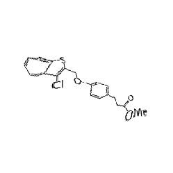 COC(=O)CCc1ccc(OCc2sc3ccccc3c2Cl)cc1